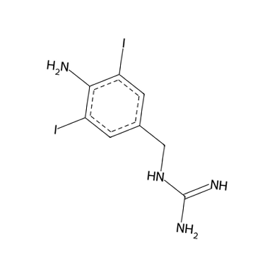 N=C(N)NCc1cc(I)c(N)c(I)c1